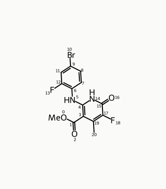 COC(=O)c1c(Nc2ccc(Br)cc2F)[nH]c(=O)c(F)c1C